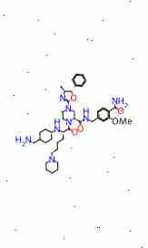 COc1cc(CNC(=O)[C@@H]2CN(C3=N[C@@H](C)[C@H](c4ccccc4)O3)CCN2C(=O)[C@@H](CCCCN2CCCCC2)NC2CCC(CN)CC2)ccc1C(N)=O